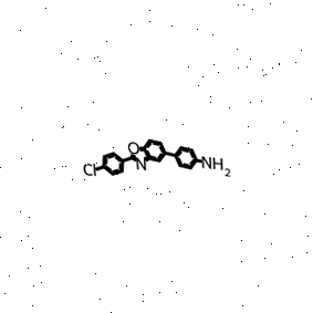 Nc1ccc(-c2ccc3oc(-c4ccc(Cl)cc4)nc3c2)cc1